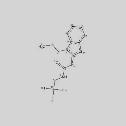 CCCn1c(=NC(=O)NCC(F)(F)F)sc2ccccc21